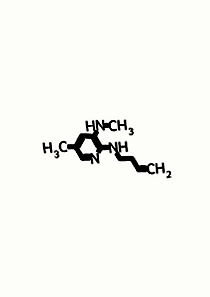 C=CCCNc1ncc(C)cc1NC